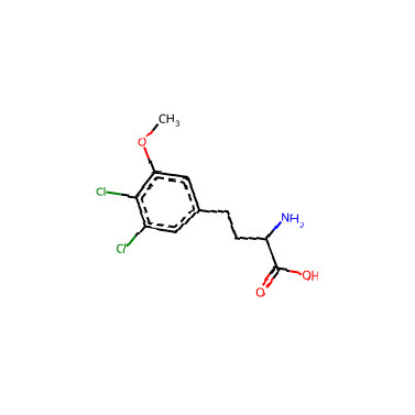 COc1cc(CCC(N)C(=O)O)cc(Cl)c1Cl